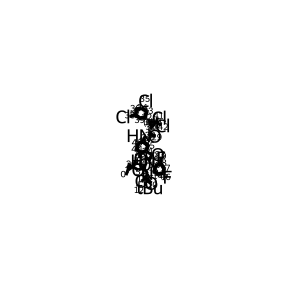 CC1=CC1(C)OC(=O)N(C(=O)OC(C)(C)C)c1cc(F)cc(F)c1NC(=O)c1cc(NC(=O)[C@H]2[C@H](c3cc(Cl)cc(Cl)c3)C2(Cl)Cl)ccc1Cl